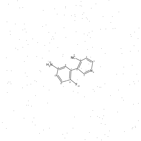 N#Cc1ccncc1-c1cc(N)ccc1F